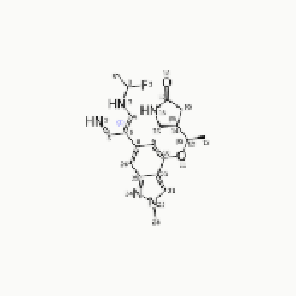 CC(F)N/C=C(\C=N)c1cc(O[C@H](C)[C@H]2CNC(=O)C2)c2cn(C)nc2c1